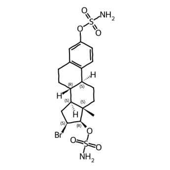 C[C@]12CC[C@@H]3c4ccc(OS(N)(=O)=O)cc4CC[C@H]3[C@@H]1C[C@H](Br)[C@@H]2OS(N)(=O)=O